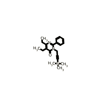 CCc1nc(-c2ccccc2)n(CC#C[Si](C)(C)C)c(=O)c1CC